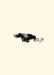 COc1nc(-c2cccc(-c3cccc(-c4cc5c(=O)n(C)c(CN6CC[C@H](C(=O)O)C6)nn5c4)c3Cl)c2Cl)ccc1CN(C)[C@H]1CCC(=O)N1